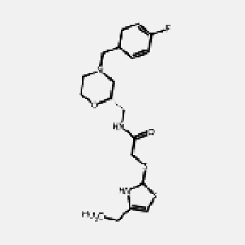 O=C(O)CC1=CSC(SCC(=O)NC[C@H]2CN(CC3C=CC(F)=CC3)CCO2)N1